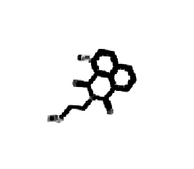 O=C1c2cccc3cccc(c23)C(=O)N1CCS(=O)(=O)O.[CaH2]